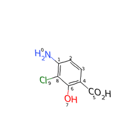 Nc1ccc(C(=O)O)c(O)c1Cl